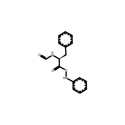 O=CN[C@@H](Cc1ccccc1)C(=O)ONc1ccccc1